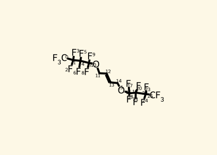 FC(F)(F)C(F)(F)C(F)(F)C(F)(F)OC/C=C/COC(F)(F)C(F)(F)C(F)(F)C(F)(F)F